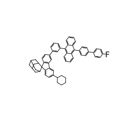 Fc1ccc(-c2ccc(-c3c4ccccc4c(-c4cccc(-c5ccc6c(c5)-c5cc(C7CCCCC7)ccc5C65C6CC7CC(C6)CC5C7)c4)c4ccccc34)cc2)cc1